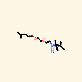 CC(C)CCCOCCOCCNC(C)(C)C(C)C